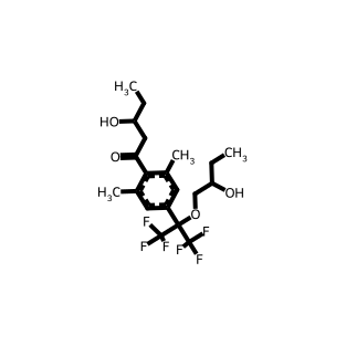 CCC(O)COC(c1cc(C)c(C(=O)CC(O)CC)c(C)c1)(C(F)(F)F)C(F)(F)F